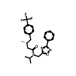 CC(C)N(Cc1nc(-c2ccccc2)no1)C(=O)C[C@H](C)Cc1ccc(C(F)(F)F)cc1